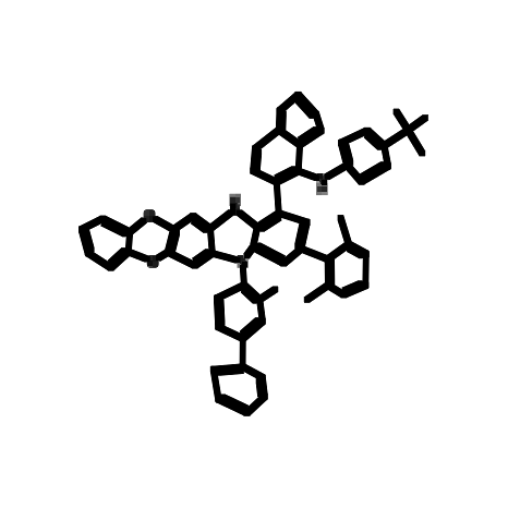 Cc1cc(-c2ccccc2)ccc1N1c2cc3c(cc2Bc2c(-c4ccc5ccccc5c4Nc4ccc(C(C)(C)C)cc4)cc(-c4c(C)cccc4C)cc21)Oc1ccccc1O3